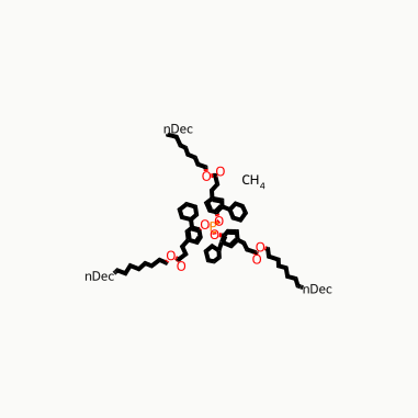 C.CCCCCCCCCCCCCCCCCCOC(=O)CCc1ccc(OP(Oc2ccc(CCC(=O)OCCCCCCCCCCCCCCCCCC)cc2C2CCCCC2)Oc2ccc(CCC(=O)OCCCCCCCCCCCCCCCCCC)cc2C2CCCCC2)c(C2CCCCC2)c1